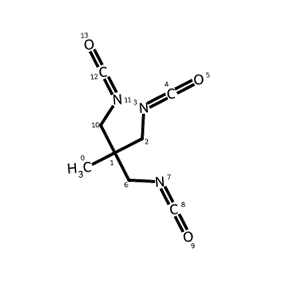 CC(CN=C=O)(CN=C=O)CN=C=O